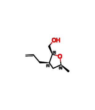 C=CC[C@@H]1C[C@H](C)O[C@@H]1CO